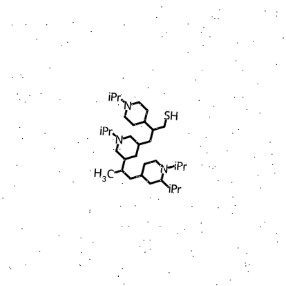 CC(C)C1CC(CC(C)C2CC(CC(CS)C3CCN(C(C)C)CC3)CN(C(C)C)C2)CCN1C(C)C